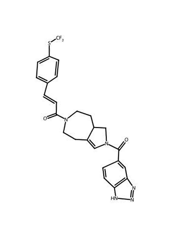 O=C(c1ccc2[nH]nnc2c1)N1C=C2CCN(C(=O)/C=C/c3ccc(SC(F)(F)F)cc3)CCC2C1